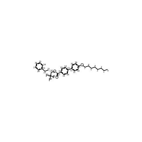 CCCCCCCCOc1ccc(-c2ccc(C(=O)O[C@@H](CCc3ccccc3)C(F)(F)F)cc2)cc1